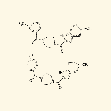 O=C(c1ccc(C(F)(F)F)cc1)N1CCN(C(=O)c2cc3cc(C(F)(F)F)ccc3[nH]2)CC1.O=C(c1cccc(C(F)(F)F)c1)N1CCN(C(=O)c2cc3cc(C(F)(F)F)ccc3[nH]2)CC1